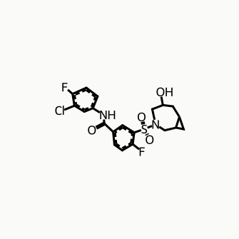 O=C(Nc1ccc(F)c(Cl)c1)c1ccc(F)c(S(=O)(=O)N2CC(O)CC3CC3C2)c1